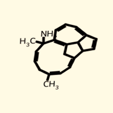 C/C1=C/C=C2\CC3=C(C=CC=C4C=CC2C43)C(C)(N)/C=C\C1